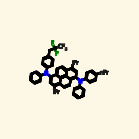 CCCc1ccc(N(c2ccccc2)c2cc(C(C)C)c3ccc4c(N(c5ccccc5)c5ccc(CC(F)(F)C(F)(F)F)cc5)cc(C(C)C)c5ccc2c3c54)cc1